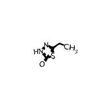 CCc1n[nH]c(=O)s1